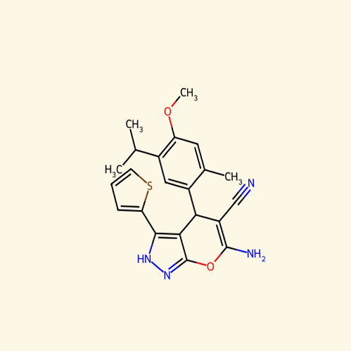 COc1cc(C)c(C2C(C#N)=C(N)Oc3n[nH]c(-c4cccs4)c32)cc1C(C)C